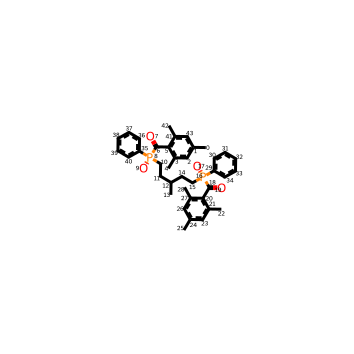 Cc1cc(C)c(C(=O)P(=O)(CCC(C)CCP(=O)(C(=O)c2c(C)cc(C)cc2C)c2ccccc2)c2ccccc2)c(C)c1